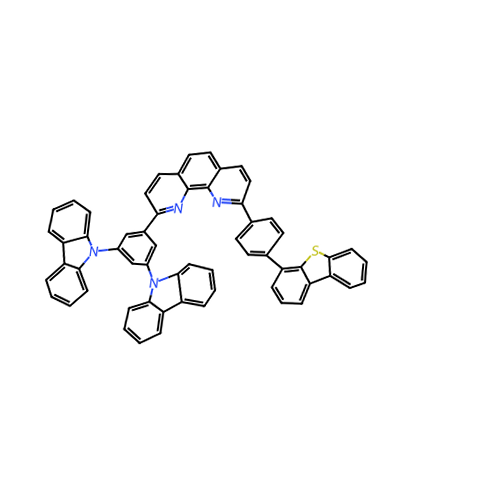 c1ccc2c(c1)sc1c(-c3ccc(-c4ccc5ccc6ccc(-c7cc(-n8c9ccccc9c9ccccc98)cc(-n8c9ccccc9c9ccccc98)c7)nc6c5n4)cc3)cccc12